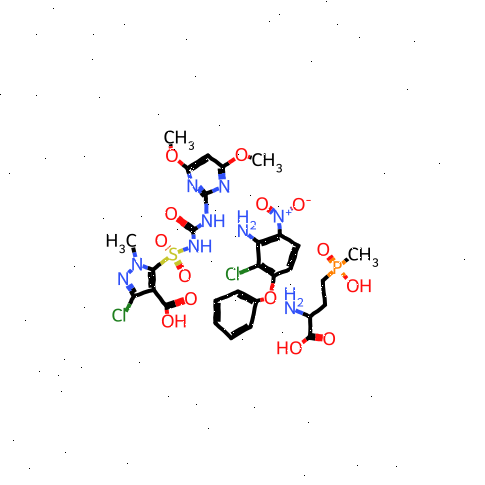 COc1cc(OC)nc(NC(=O)NS(=O)(=O)c2c(C(=O)O)c(Cl)nn2C)n1.CP(=O)(O)CCC(N)C(=O)O.Nc1c([N+](=O)[O-])ccc(Oc2ccccc2)c1Cl